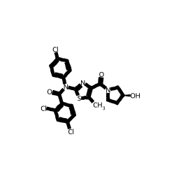 Cc1sc(N(C(=O)c2ccc(Cl)cc2Cl)c2ccc(Cl)cc2)nc1C(=O)N1CC[C@H](O)C1